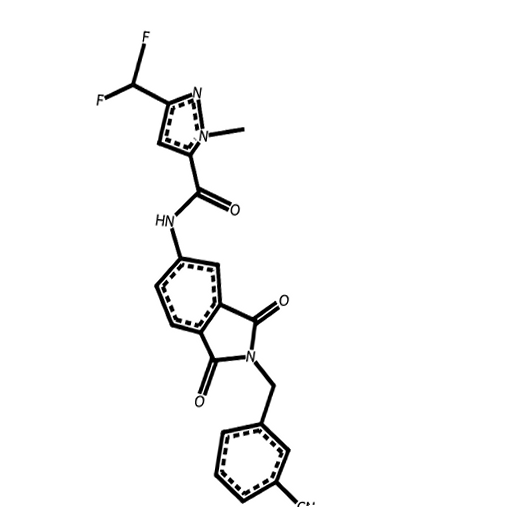 Cn1nc(C(F)F)cc1C(=O)Nc1ccc2c(c1)C(=O)N(Cc1cccc(C#N)c1)C2=O